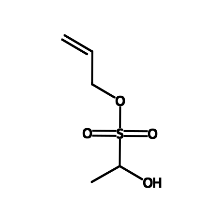 C=CCOS(=O)(=O)C(C)O